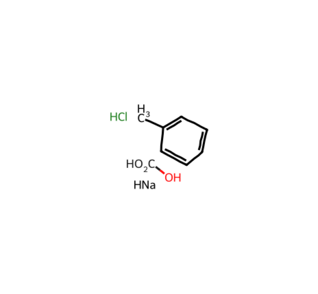 Cc1ccccc1.Cl.O=C(O)O.[NaH]